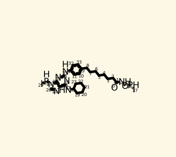 O=C(CCCCCCCc1ccc(Nc2nc(NC3CCCCC3)c3ncn(PI)c3n2)cc1)NOPI